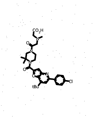 CN(CC(=O)O)CC(=O)N1CCN(C(=O)c2cc3nc(-c4ccc(Cl)cc4)cc(C(C)(C)C)c3o2)C(C)(C)C1